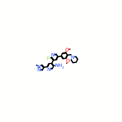 COc1cc(-c2cnc(F)c(-c3cc(-c4cnn(C)c4)ncc3N)c2)cc(OC)c1CN1CCCCC1